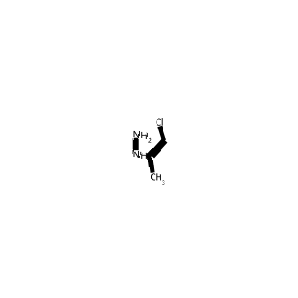 CC=CCl.NN